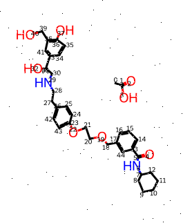 CC(=O)O.O=C(NC1CCCCC1)c1cccc(COCCOc2ccc(CCNC[C@H](O)c3ccc(O)c(CO)c3)cc2)c1